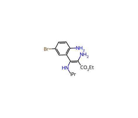 CCOC(=O)/C(N)=C(\NC(C)C)c1cc(Br)ccc1N